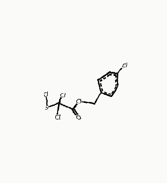 O=C(OCc1ccc(Cl)cc1)C(Cl)(Cl)SCl